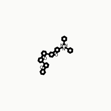 c1ccc(-c2nc(-c3ccccc3)nc(-c3ccc4c(c3)oc3ccc(-c5cccc6c5oc5c(-c7cccc8c7oc7ccccc78)cccc56)cc34)n2)cc1